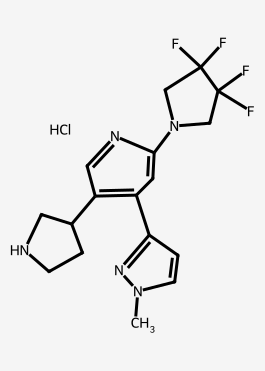 Cl.Cn1ccc(-c2cc(N3CC(F)(F)C(F)(F)C3)ncc2C2CCNC2)n1